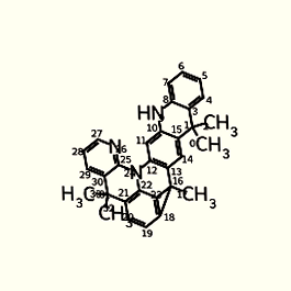 CC1(C)c2ccccc2Nc2cc3c(cc21)C1(C)c2ccc4c(c21)N3c1ncccc1C4(C)C